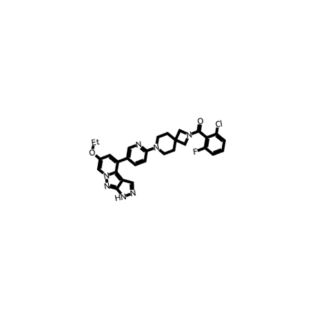 CCOc1cc(-c2ccc(N3CCC4(CC3)CN(C(=O)c3c(F)cccc3Cl)C4)nc2)c2c3cn[nH]c3nn2c1